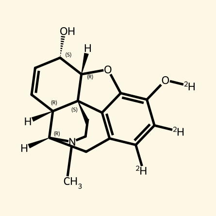 [2H]Oc1c([2H])c([2H])c2c3c1O[C@H]1[C@@H](O)C=C[C@H]4[C@@H](C2)N(C)CC[C@@]341